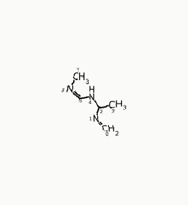 C=NC(C)N/C=N\C